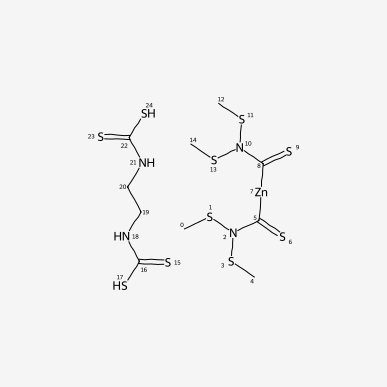 CSN(SC)[C](=S)[Zn][C](=S)N(SC)SC.S=C(S)NCCNC(=S)S